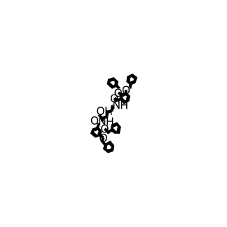 O=C(NCCCCC(CO)NC(=O)c1cccc(OCc2ccccc2)c1OCc1ccccc1)c1cccc(OCc2ccccc2)c1OCc1ccccc1